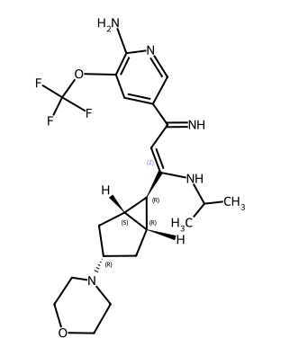 CC(C)N/C(=C\C(=N)c1cnc(N)c(OC(F)(F)F)c1)[C@H]1[C@@H]2C[C@H](N3CCOCC3)C[C@@H]21